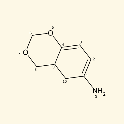 NC1=CC=C2OCOCC2C1